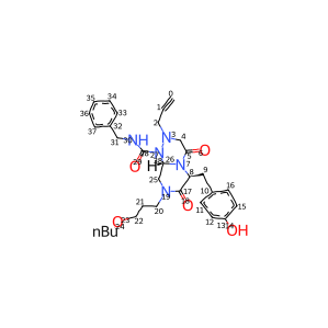 C#CCN1CC(=O)N2[C@@H](Cc3ccc(O)cc3)C(=O)N(CCCOCCCC)C[C@@H]2N1C(=O)NCc1ccccc1